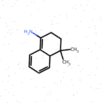 CC1(C)CCC(N)=C2C=CC=CC21